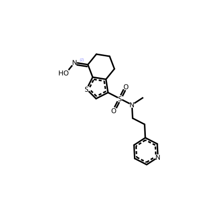 CN(CCc1cccnc1)S(=O)(=O)c1csc2c1CCC/C2=N/O